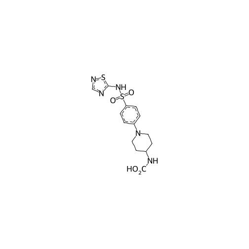 O=C(O)NC1CCN(c2ccc(S(=O)(=O)Nc3ncns3)cc2)CC1